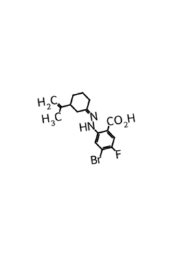 C=C(C)C1CCCC(=NNc2cc(Br)c(F)cc2C(=O)O)C1